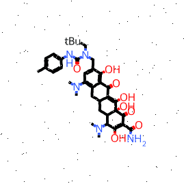 Cc1ccc(NC(=O)N(Cc2cc(N(C)C)c3c(c2O)C(=O)C2=C(O)C4(O)C(=O)C(C(N)=O)=C(O)C(N(C)C)C4CC2C3)CC(C)(C)C)cc1